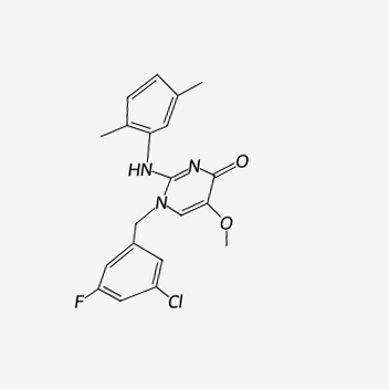 COc1cn(Cc2cc(F)cc(Cl)c2)c(Nc2cc(C)ccc2C)nc1=O